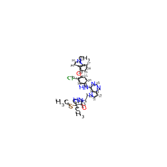 CSC(C)(C)C(=O)NCCn1ccc2ncnc(Nc3ccc(Oc4cccc5c4ccn5C)c(Cl)c3)c21